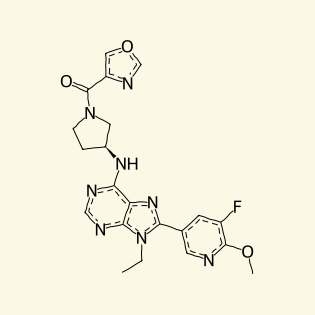 CCn1c(-c2cnc(OC)c(F)c2)nc2c(N[C@H]3CCN(C(=O)c4cocn4)C3)ncnc21